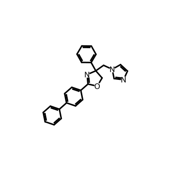 c1ccc(-c2ccc(C3=NC(Cn4ccnc4)(c4ccccc4)CO3)cc2)cc1